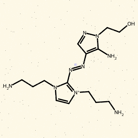 NCCCn1cc[n+](CCCN)c1/N=N/c1cnn(CCO)c1N